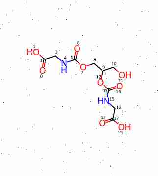 O=C(O)CNC(=O)OCC(CO)OC(=O)NCC(=O)O